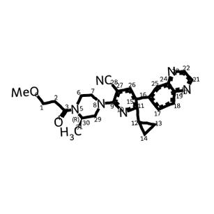 COCCC(=O)N1CCN(c2nc(C3CC3)c(-c3ccc4nccnc4c3)cc2C#N)C[C@H]1C